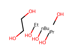 CC(C)O.CCCCO.CCO.CO.OCCO